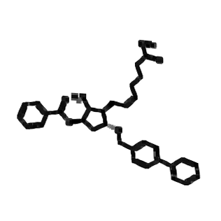 COC(=O)CCC/C=C\C[C@@H]1C(N)[C@H](OC(=O)c2ccccc2)C[C@H]1OCc1ccc(-c2ccccc2)cc1